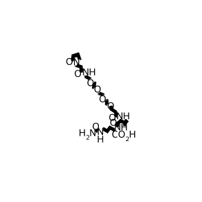 C=C(C)[C@H](NC(=O)CCOCCOCCOCCOCCNC(=O)CCN1CC=CC1=O)C(=O)N[C@@H](CCCNC(N)=O)C(=O)O